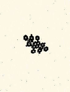 Cc1ccc2c(c1)N(c1ccccc1)c1cc(C)cc3c1B2c1cc2c(-c4ccccc4)cc4c5c(cc6c(-c7ccccc7)cc-3c1c6c25)B1c2ccc(C)cc2N(c2ccccc2)c2cc(C)cc-4c21